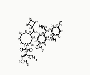 C/C=C(\C)S(=O)(=O)N1CCCCC(CC2CCC2)[C@H](c2cc(C=N)c(Nc3ccc(F)cc3)cc2C)C1